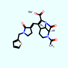 CC(=O)N1CCC2C(/C=C3\CCN(Cc4cccs4)C3=O)=C(C(=O)[O-])N3C(=O)[C@@H]1[C@@H]23.[Na+]